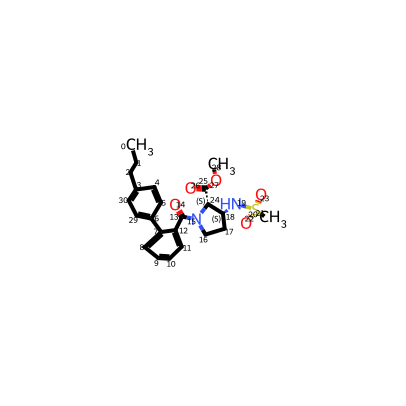 CCCc1ccc(-c2ccccc2C(=O)N2CC[C@H](NS(C)(=O)=O)[C@H]2C(=O)OC)cc1